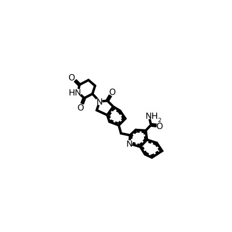 NC(=O)c1cc(Cc2ccc3c(c2)CN(C2CCC(=O)NC2=O)C3=O)nc2ccccc12